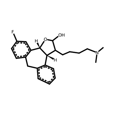 CN(C)CCCCC1C(O)O[C@H]2c3cc(F)ccc3Cc3ccccc3[C@@H]12